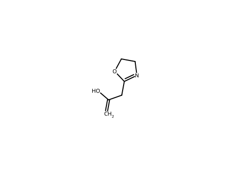 C=C(O)CC1=NCCO1